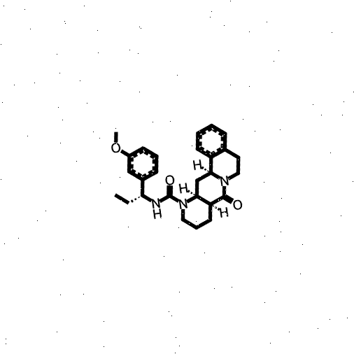 CC[C@@H](NC(=O)N1CCC[C@@H]2C(=O)N3CCc4ccccc4[C@@H]3C[C@@H]21)c1cccc(OC)c1